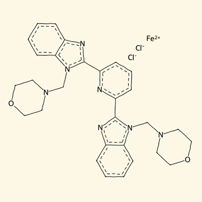 [Cl-].[Cl-].[Fe+2].c1cc(-c2nc3ccccc3n2CN2CCOCC2)nc(-c2nc3ccccc3n2CN2CCOCC2)c1